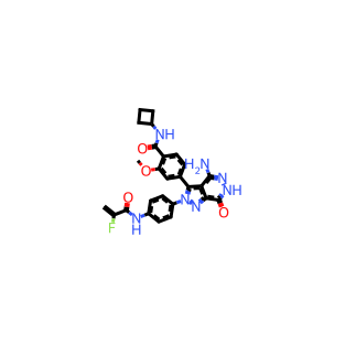 C=C(F)C(=O)Nc1ccc(-n2nc3c(=O)[nH]nc(N)c3c2-c2ccc(C(=O)NC3CCC3)c(OC)c2)cc1